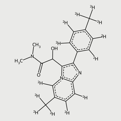 [2H]c1c([2H])c(C([2H])([2H])[2H])c([2H])c([2H])c1-c1nc2c([2H])c([2H])c(C([2H])([2H])[2H])c([2H])n2c1C(O)C(=O)N(C)C